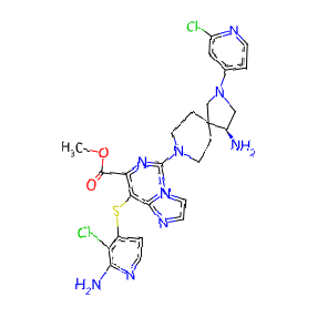 COC(=O)c1nc(N2CCC3(CC2)CN(c2ccnc(Cl)c2)C[C@H]3N)n2ccnc2c1Sc1ccnc(N)c1Cl